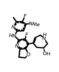 CNc1cc(Nc2nc3c(c(C4=CCNC[C@@H](O)C4)c2F)OCC3)nc(C)c1F